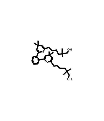 CC1(C)C=C(CCCCC(C)(C)CO)SC(c2ccccc2C2=CC(C)(C)C=C(CCCCC(C)(C)CO)S2)=C1